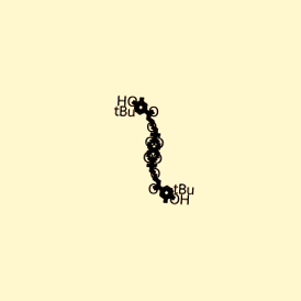 Cc1cc(C(=O)CCOCC(C)(C)C2OCC3(CO2)COC(C(C)(C)COCCC(=O)c2cc(C)c(O)c(C(C)(C)C)c2)OC3)cc(C(C)(C)C)c1O